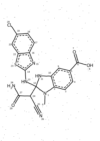 CN1c2ccc(C(=O)O)cc2NC1(Nc1nc2ccc(Cl)cc2s1)C(C#N)C(N)=O